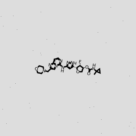 CC1(NC(=O)O[C@@H]2CO[C@H](c3cc(Nc4nccc5nc(CN6CCOCC6)cn45)n[nH]3)[C@@H]2F)CC1